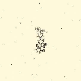 NC1(CO)CCN(c2cnc3c(-c4c(F)cccc4Cl)n[nH]c3n2)CC1